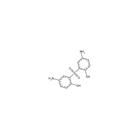 Nc1ccc(O)c(S(=O)(=O)c2cc(N)ccc2O)c1